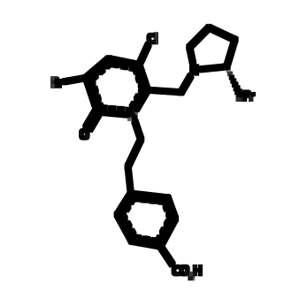 CCC[C@H]1CCCN1Cc1c(Cl)cc(Br)c(=O)n1CCc1ccc(C(=O)O)cc1